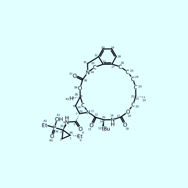 CC[C@@H]1C[C@]1(NC(=O)[C@@H]1C[C@@H]2CN1C(=O)[C@H](C(C)(C)C)NC(=O)OC[C@@H](C)CCCCc1cccc3c1CN(C3)C(=O)O2)P(=O)(O)CC